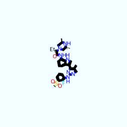 CC[C@H](C(=O)Nc1cccc2c(-c3nc(Nc4cccc(S(C)(=O)=O)c4F)ncc3C)c[nH]c12)N1C[C@@H](C)N[C@H](C)C1